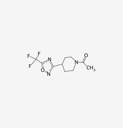 CC(=O)N1CCC(c2noc(C(F)(F)F)n2)CC1